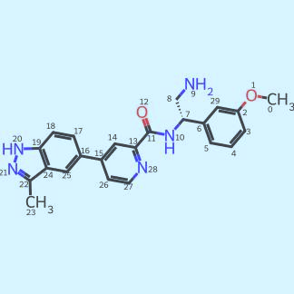 COc1cccc([C@@H](CN)NC(=O)c2cc(-c3ccc4[nH]nc(C)c4c3)ccn2)c1